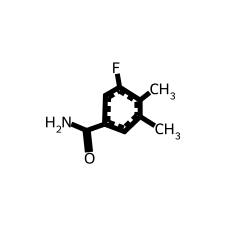 Cc1cc(C(N)=O)cc(F)c1C